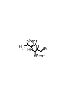 CCCCCC(C)C(=O)NC(CCCCC)C(=O)CC(C)C